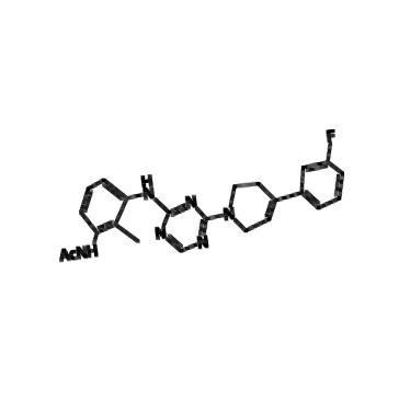 CC(=O)Nc1cccc(Nc2ncnc(N3CC=C(c4cccc(F)c4)CC3)n2)c1C